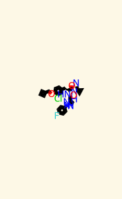 N#CC1(NC(=O)[C@H](Cc2ccc(OCC3CCC3)c(Cl)c2)NC(=O)c2cnn(-c3ccc(F)cc3)n2)CC1